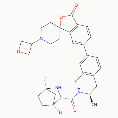 N#C[C@H](Cc1ccc(-c2ccc3c(n2)C2(CCN(C4COC4)CC2)OC3=O)cc1F)NC(=O)[C@H]1N[C@@H]2CC[C@H]1C2